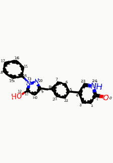 O=c1ccc(-c2ccc(-c3cc(O)n(-c4ccccc4)n3)cc2)c[nH]1